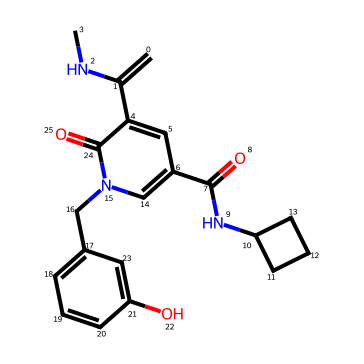 C=C(NC)c1cc(C(=O)NC2CCC2)cn(Cc2cccc(O)c2)c1=O